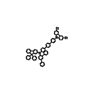 CCc1ccc2c(c1)c1cc(CC)ccc1n2-c1ccc(-c2ccc(-c3ccc(N(c4ccc5c(c4)C(c4ccccc4)(c4ccccc4)c4ccccc4-5)c4ccc(-c5ccccc5)cc4-c4ccccc4)cc3)cc2)cc1